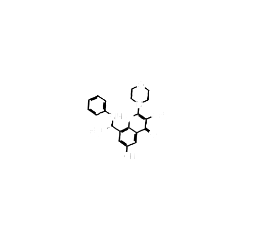 Cc1cc([C@@H](C)Nc2ccccc2)c2oc(N3CCOCC3)c(C)c(=O)c2c1